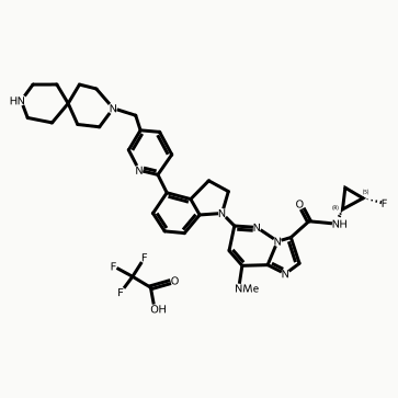 CNc1cc(N2CCc3c(-c4ccc(CN5CCC6(CCNCC6)CC5)cn4)cccc32)nn2c(C(=O)N[C@@H]3C[C@@H]3F)cnc12.O=C(O)C(F)(F)F